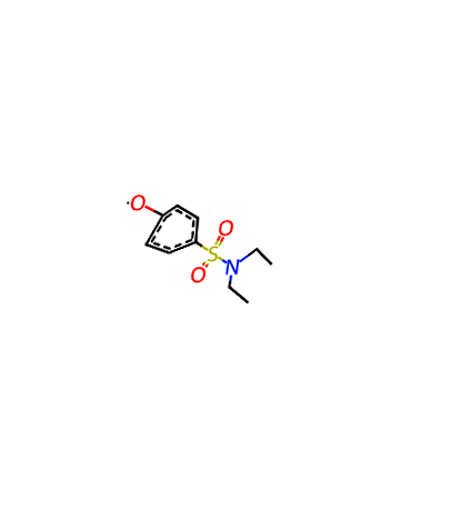 CCN(CC)S(=O)(=O)c1ccc([O])cc1